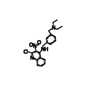 CCN(CC)Cc1cccc(CNc2c([N+](=O)[O-])c(Cl)nc3ccccc23)c1